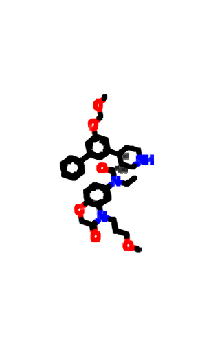 CCN(C(=O)[C@H]1CNCC[C@@H]1c1cc(OCOC)cc(-c2ccccc2)c1)c1ccc2c(c1)N(CCCOC)C(=O)CO2